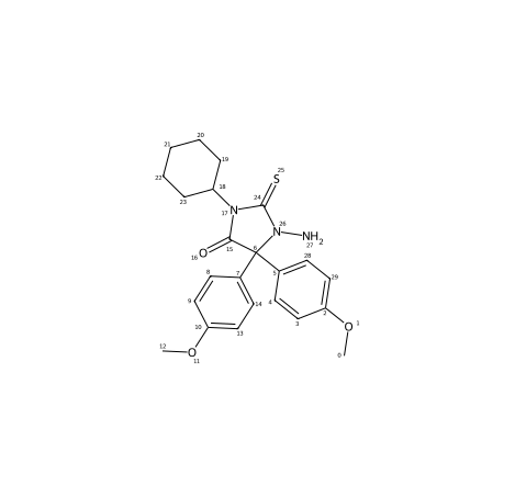 COc1ccc(C2(c3ccc(OC)cc3)C(=O)N(C3CCCCC3)C(=S)N2N)cc1